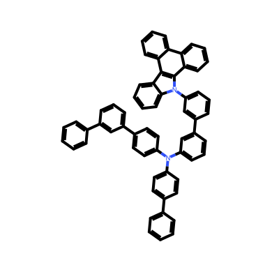 c1ccc(-c2ccc(N(c3ccc(-c4cccc(-c5ccccc5)c4)cc3)c3cccc(-c4cccc(-n5c6ccccc6c6c7ccccc7c7ccccc7c65)c4)c3)cc2)cc1